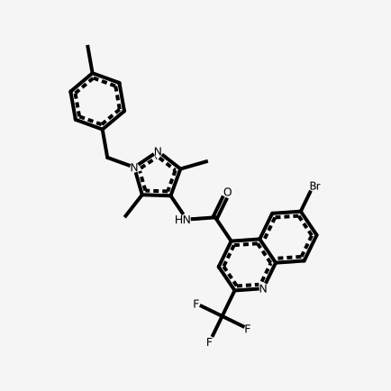 Cc1ccc(Cn2nc(C)c(NC(=O)c3cc(C(F)(F)F)nc4ccc(Br)cc34)c2C)cc1